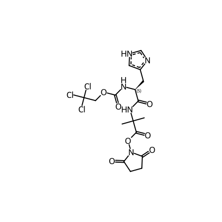 CC(C)(NC(=O)[C@H](Cc1c[nH]cn1)NC(=O)OCC(Cl)(Cl)Cl)C(=O)ON1C(=O)CCC1=O